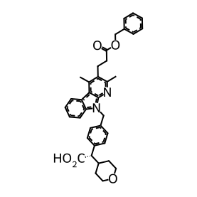 Cc1nc2c(c(C)c1CCC(=O)OCc1ccccc1)c1ccccc1n2Cc1ccc([C@@H](C(=O)O)C2CCOCC2)cc1